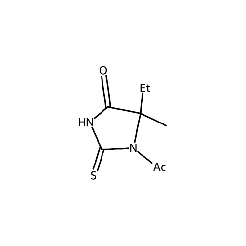 CCC1(C)C(=O)NC(=S)N1C(C)=O